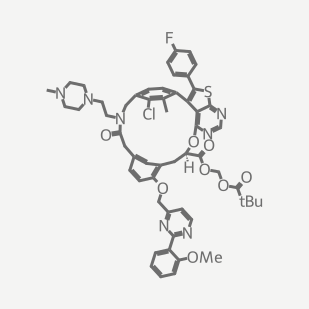 COc1ccccc1-c1nccc(COc2ccc3cc2C[C@H](C(=O)OCOC(=O)C(C)(C)C)Oc2ncnc4sc(-c5ccc(F)cc5)c(c24)-c2ccc(c(Cl)c2C)CN(CCN2CCN(C)CC2)C(=O)C3)n1